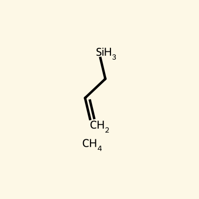 C.C=CC[SiH3]